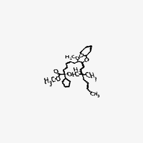 CCCCC(C)(C)C/C=C(/OC1CCCCO1)C(C/C=C\CC[C@](O)(C(=O)OC)C1CCCC1)OC